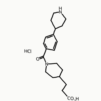 Cl.O=C(O)CCC1CCN(C(=O)c2ccc(C3CCNCC3)cc2)CC1